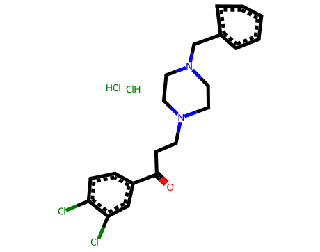 Cl.Cl.O=C(CCN1CCN(Cc2ccccc2)CC1)c1ccc(Cl)c(Cl)c1